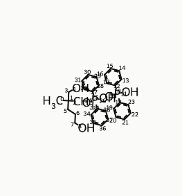 CC(C)(CO)CCCO.O=P(O)(c1ccccc1)c1ccccc1.O=P(O)(c1ccccc1)c1ccccc1